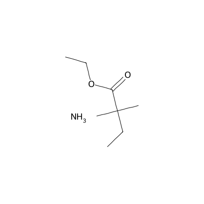 CCOC(=O)C(C)(C)CC.N